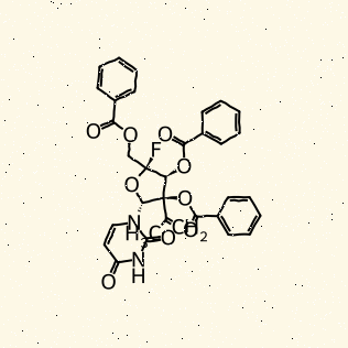 C=C(C)[C@]1(OC(=O)c2ccccc2)[C@H](n2ccc(=O)[nH]c2=O)O[C@](F)(COC(=O)c2ccccc2)[C@H]1OC(=O)c1ccccc1